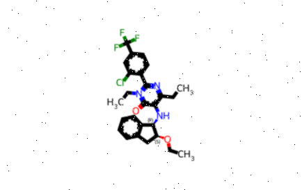 CCO[C@H]1Cc2ccccc2[C@H]1Nc1c(CC)nc(-c2ccc(C(F)(F)F)cc2Cl)n(CC)c1=O